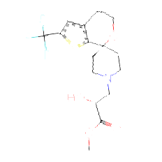 COC(=O)[C@@H](O)CN1CC[C@]2(C[C@@H]1C)OCCc1cc(C(F)(F)F)sc12